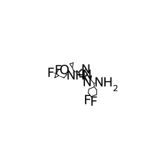 N[C@H](c1cn2ncc([C@H](NC(=O)C[C@H]3CC3(F)F)C3CC3)cc2n1)C1CCC(F)(F)CC1